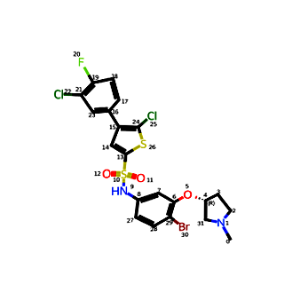 CN1CC[C@@H](Oc2cc(NS(=O)(=O)c3cc(-c4ccc(F)c(Cl)c4)c(Cl)s3)ccc2Br)C1